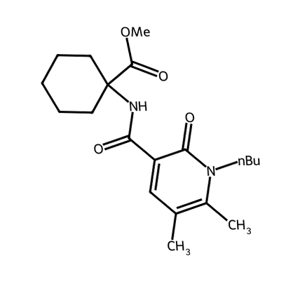 CCCCn1c(C)c(C)cc(C(=O)NC2(C(=O)OC)CCCCC2)c1=O